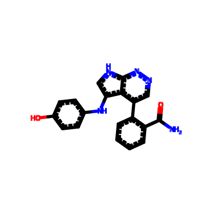 NC(=O)c1ccccc1-c1cnnc2[nH]cc(Nc3ccc(O)cc3)c12